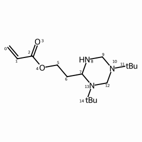 C=CC(=O)OCCC1NCN(C(C)(C)C)CN1C(C)(C)C